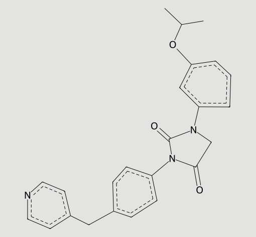 CC(C)Oc1cccc(N2CC(=O)N(c3ccc(Cc4ccncc4)cc3)C2=O)c1